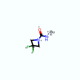 CC[C@@H](C)NC(=O)N1CC(F)(F)C1